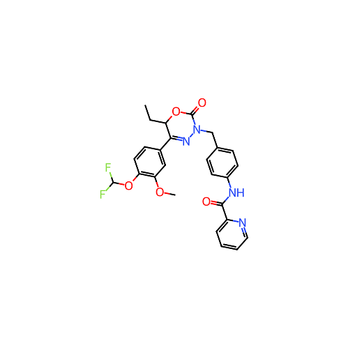 CCC1OC(=O)N(Cc2ccc(NC(=O)c3ccccn3)cc2)N=C1c1ccc(OC(F)F)c(OC)c1